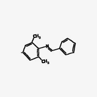 Cc1c[c]cc(C)c1N=Cc1ccccc1